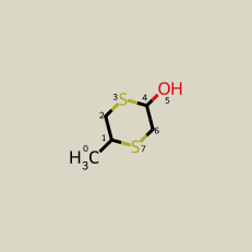 CC1CSC(O)CS1